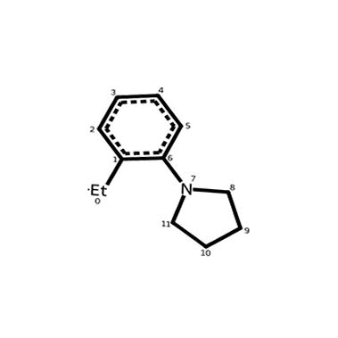 C[CH]c1ccccc1N1CCCC1